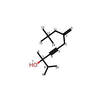 C=C(CC#CC(C)(O)C(C)C)CC(C)(C)C